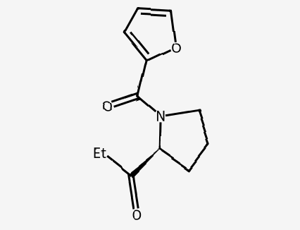 CCC(=O)[C@@H]1CCCN1C(=O)c1ccco1